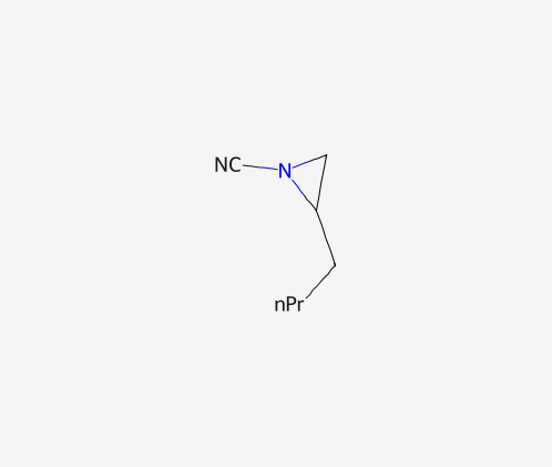 CCCCC1CN1C#N